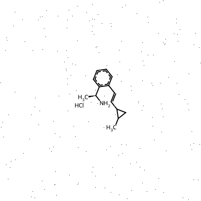 CC1CC1/C=C/c1ccccc1[C@H](C)N.Cl